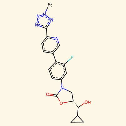 CCn1nnc(-c2ccc(-c3ccc(N4C[C@H](C(O)C5CC5)OC4=O)cc3F)cn2)n1